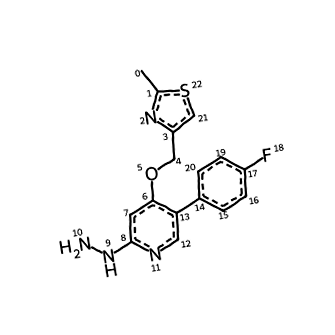 Cc1nc(COc2cc(NN)ncc2-c2ccc(F)cc2)cs1